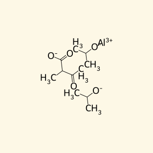 CC(=O)C(C)C(=O)[O-].CC(C)[O-].CC(C)[O-].[Al+3]